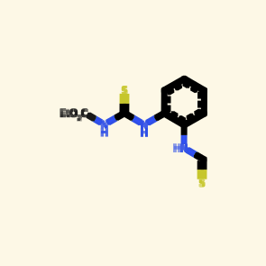 CCOC(=O)NC(=S)Nc1ccccc1NC=S